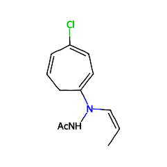 C/C=C\N(NC(C)=O)C1=CC=C(Cl)C=CC1